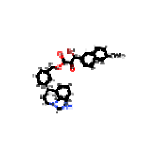 COc1ccc2cc(C(Br)C(=O)C(=O)OCc3cccc([C@@H]4CCN5CNc6cccc4c65)c3)ccc2c1